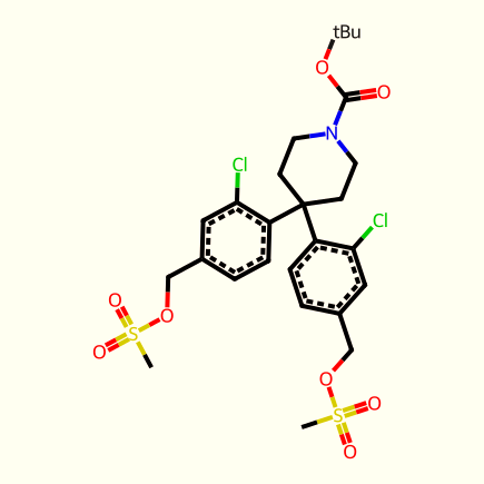 CC(C)(C)OC(=O)N1CCC(c2ccc(COS(C)(=O)=O)cc2Cl)(c2ccc(COS(C)(=O)=O)cc2Cl)CC1